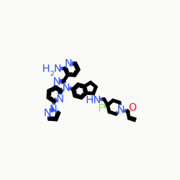 C=CC(=O)N1CCC(F)(CN[C@H]2CCc3cc(-n4c(-c5cccnc5N)nc5ccc(-n6cccn6)nc54)ccc32)CC1